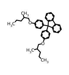 CCCC(C)COc1ccc(C2(c3ccc(OCC(C)CCC)cc3)c3ccccc3-c3ccccc32)cc1